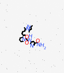 C=C(/C=C\C=C(/C)n1nc(C)cc1C)[C@@H]1CCCCN1C(=O)C(=O)Nc1cncc(C(N)=O)c1